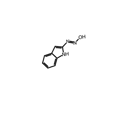 ON=Nc1cc2ccccc2[nH]1